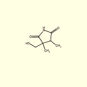 CN1C(=O)NC(=O)C1(C)CS